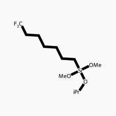 CO[Si](CCCCCCC(F)(F)F)(OC)OC(C)C